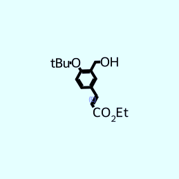 CCOC(=O)/C=C/c1ccc(OC(C)(C)C)c(CO)c1